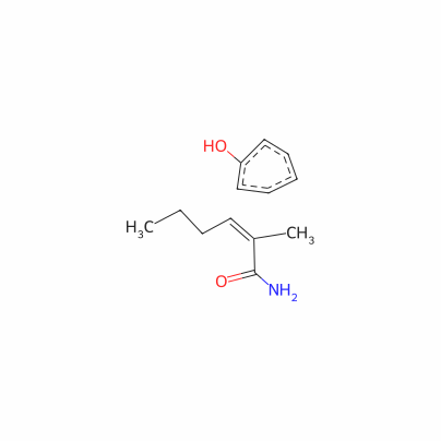 CCCC=C(C)C(N)=O.Oc1ccccc1